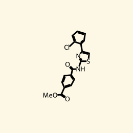 COC(=O)c1ccc(C(=O)Nc2nc(-c3ccccc3Cl)cs2)cc1